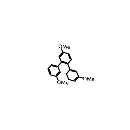 COC1=CC[CH]C(c2ccc(OC)cc2-c2cccc(OC)c2)=C1